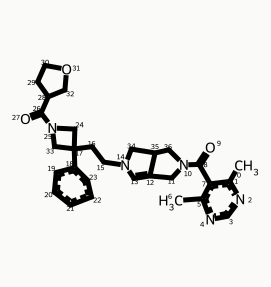 Cc1ncnc(C)c1C(=O)N1CC2=CN(CCC3(c4ccccc4)CN(C(=O)C4CCOC4)C3)CC2C1